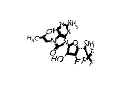 CC(O)Cn1c(=O)n([C@@H]2O[C@H](C(O)C(F)(F)F)[C@H](F)[C@H]2O)c2nc(N)ncc21